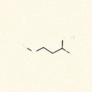 CCC(CCO[N+](=O)[O-])C(=O)O